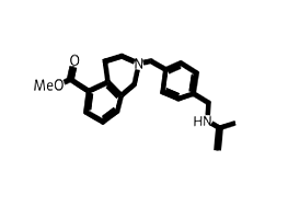 C=C(C)NCc1ccc(CN2CCc3c(cccc3C(=O)OC)C2)cc1